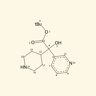 CC(C)(C)OC(=O)C(O)(c1cccnc1)C1CCNCC1